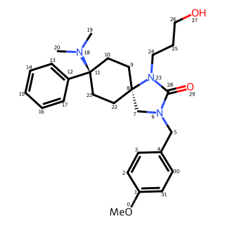 COc1ccc(CN2C[C@]3(CC[C@](c4ccccc4)(N(C)C)CC3)N(CCCO)C2=O)cc1